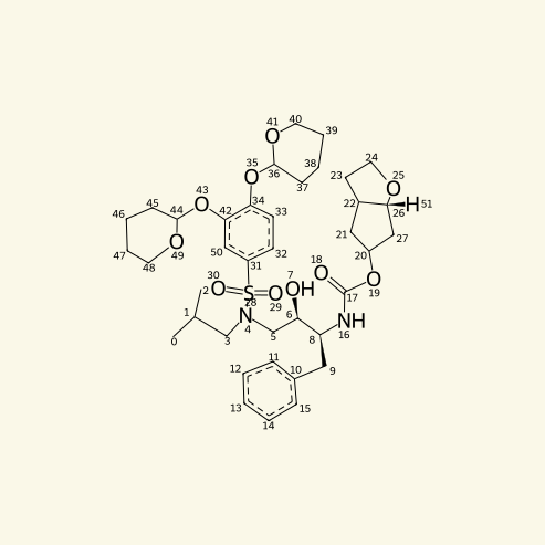 CC(C)CN(C[C@@H](O)[C@H](Cc1ccccc1)NC(=O)OC1CC2CCO[C@@H]2C1)S(=O)(=O)c1ccc(OC2CCCCO2)c(OC2CCCCO2)c1